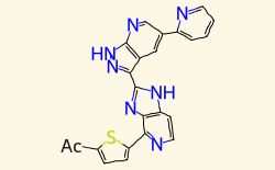 CC(=O)c1ccc(-c2nccc3[nH]c(-c4n[nH]c5ncc(-c6ccccn6)cc45)nc23)s1